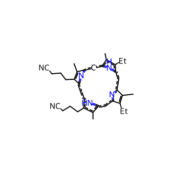 CCC1=C(C)c2cc3[nH]c(cc4nc(cc5[nH]c(cc1n2)c(C)c5CCCC#N)C(CCCC#N)=C4C)c(C)c3CC